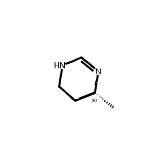 C[C@@H]1CCNC=N1